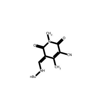 CCCCN/C=C1/C(=O)N(C)C(=O)C(C#N)=C1C